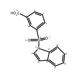 O=C(O)c1cccc(S(=O)(=O)n2ccc3ccccc32)c1